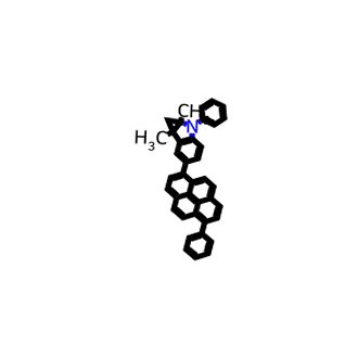 CC12CC1(C)N(c1ccccc1)c1ccc(-c3ccc4ccc5c(-c6ccccc6)ccc6ccc3c4c65)cc12